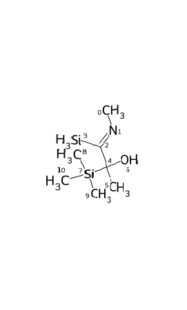 CN=C([SiH3])C(C)(O)[Si](C)(C)C